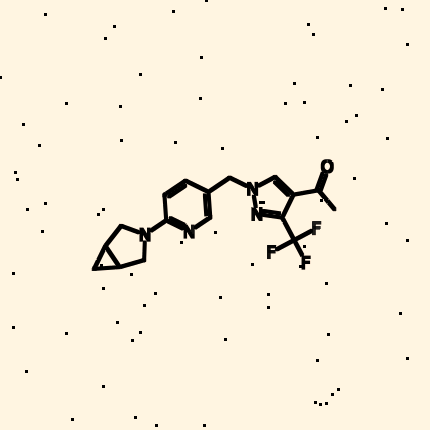 CC(=O)c1cn(Cc2ccc(N3CC4CC4C3)nc2)nc1C(F)(F)F